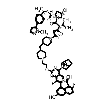 C#Cc1c(F)ccc2cc(O)cc(-c3ncc4c(N5CC6CCC(C5)N6)nc(OCCN5CCC(CC6CCN(c7cc([C@H](C(=O)N8C[C@H](O)C[C@H]8C(=O)N[C@@H](C)c8ccc(-c9ccnn9C)cc8)C(C)C)on7)CC6)CC5)nc4c3F)c12